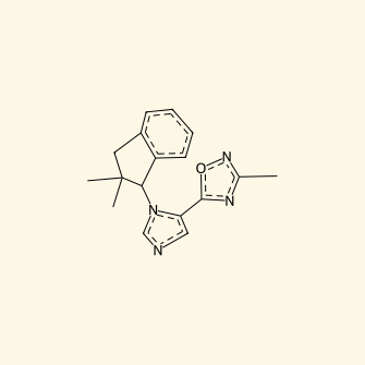 Cc1noc(-c2cncn2C2c3ccccc3CC2(C)C)n1